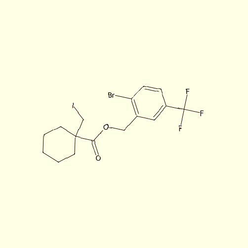 O=C(OCc1cc(C(F)(F)F)ccc1Br)C1(CI)CCCCC1